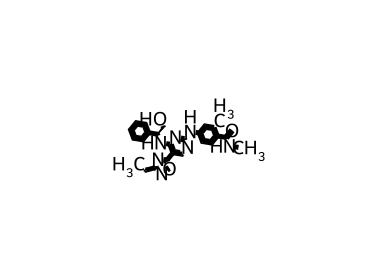 CCc1noc(-c2cnc(Nc3ccc(C(=O)NC)c(C)c3)nc2N[C@H](CO)c2ccccc2)n1